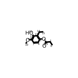 CCC(=O)Oc1ccc(OC)c(O)c1CC